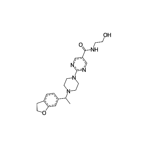 CC(c1ccc2c(c1)OCC2)N1CCN(c2ncc(C(=O)NCCO)cn2)CC1